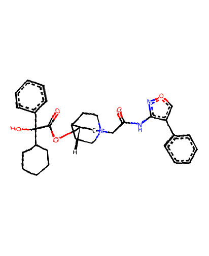 O=C(C[N+]12CCC(CC1)[C@@H](OC(=O)C(O)(c1ccccc1)C1CCCCC1)C2)Nc1nocc1-c1ccccc1